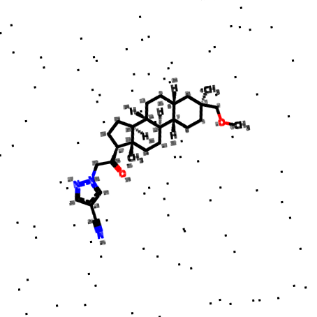 COC[C@@]1(C)CC[C@H]2[C@H](CC[C@@H]3[C@@H]2CC[C@]2(C)[C@@H](C(=O)Cn4cc(C#N)cn4)CC[C@@H]32)C1